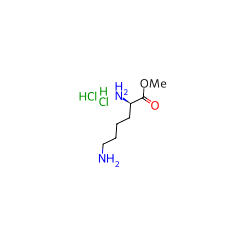 COC(=O)[C@H](N)CCCCN.Cl.Cl